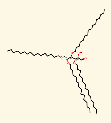 CCCCCCCCCCCCCCCCOC[C@@H](OCCCCCCCCCCCCCCCC)[C@H](OCCCCCCCCCCCCCCCC)[C@H](OCCCCCCCCCCCCCCCC)[C@H](C=O)OC